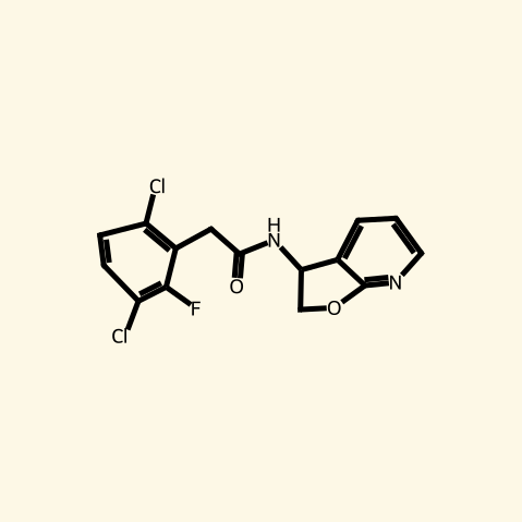 O=C(Cc1c(Cl)ccc(Cl)c1F)NC1COc2ncccc21